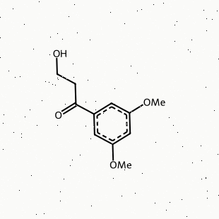 COc1cc(OC)cc(C(=O)CCO)c1